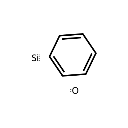 [O].[Si].c1ccccc1